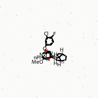 CCCn1nc(N[C@@H]2[C@@H]3CC[C@H]2CN(c2cnnc(OC)c2)C3)nc1Oc1ccc(F)c(Cl)c1